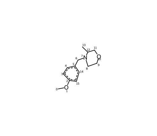 COc1ccc(CN2CCOCC2C)cc1